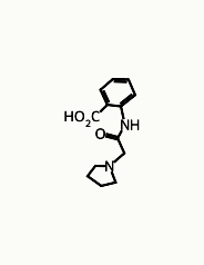 O=C(CN1CCCC1)Nc1ccccc1C(=O)O